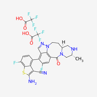 C[C@@H]1CN2C(=O)c3cc(F)c(-c4ccc(F)c5sc(N)c(C#N)c45)c4cnn(c34)CC[C@H]2CN1.O=C(O)C(F)(F)F.O=C(O)C(F)(F)F